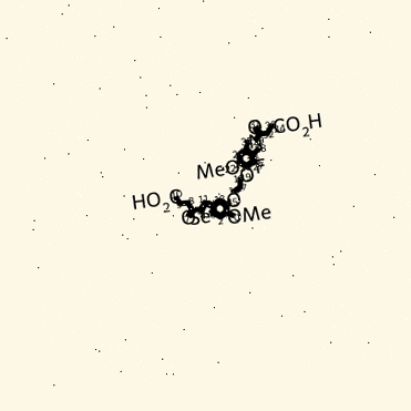 COc1cc2[se]c(C(=O)CCC(=O)O)cc2cc1OCCCOc1c(OC)cc2c(c1F)CN(C(=O)CCC(=O)O)C2